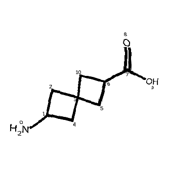 NC1CC2(C1)CC(C(=O)O)C2